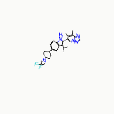 Cc1c(-c2[nH]c3ccc(C4CCC(N5CC(F)(F)C5)CC4)cc3c2C(C)C)cn2ncnc2c1C